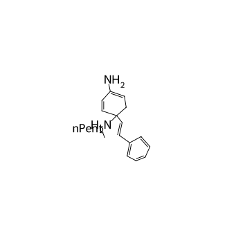 CCCCCC.NC1=CCC(N)(C=Cc2ccccc2)C=C1